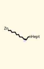 CCCCCCCC/C=C\CCCCCCC[CH2][Zn]